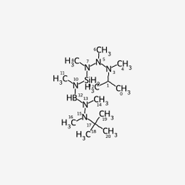 CC(C)N(C)N(C)N(C)[SiH2]N(C)BN(C)N(C)C(C)(C)C